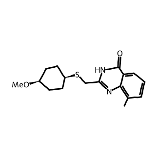 CO[C@H]1CC[C@@H](SCc2nc3c(C)cccc3c(=O)[nH]2)CC1